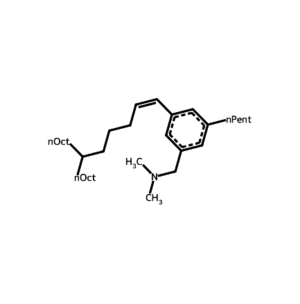 CCCCCCCCC(CCC/C=C\c1cc(CCCCC)cc(CN(C)C)c1)CCCCCCCC